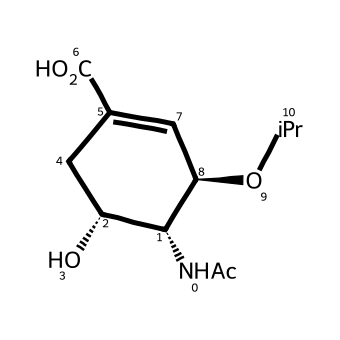 CC(=O)N[C@@H]1[C@H](O)CC(C(=O)O)=C[C@H]1OC(C)C